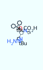 CC(C)(C)n1nc([C@H]2C[C@@H](O[Si](c3ccccc3)(c3ccccc3)C(C)(C)C)[C@@H](N(C(=O)O)C34CC(C3)C4)C2)cc1N